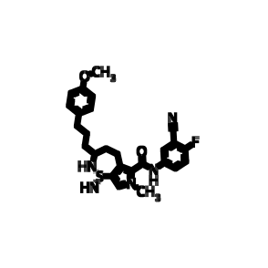 COc1ccc(CCCC2CCc3c(cn(C)c3C(=O)Nc3ccc(F)c(C#N)c3)S(=N)N2)cc1